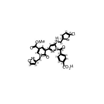 COC(=O)c1cc(-c2cc(NCc3ccc(Cl)s3)n(C(=O)c3ccc(C(=O)O)cc3)n2)c(=O)n(Cc2ccon2)c1